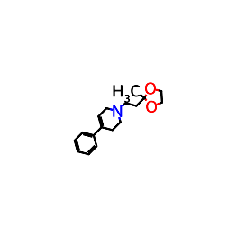 CC1(CCN2CC=C(c3ccccc3)CC2)OCCO1